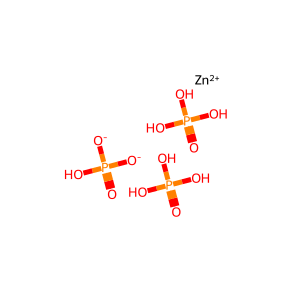 O=P(O)(O)O.O=P(O)(O)O.O=P([O-])([O-])O.[Zn+2]